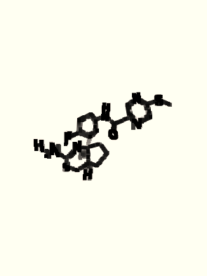 CSc1cnc(C(=O)Nc2ccc(F)c([C@]34CCC[C@H]3CSC(N)=N4)c2)cn1